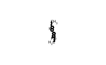 C=CCOc1cc2ccc([C@@H]3CC[C@@H]4CC(CCCC)CCC4C3)cc2cc1F